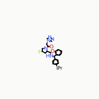 CC(C)c1ccc(C(NC(=O)C2CC(F)CN2C(=O)Cn2cnnc2)c2ccccc2)cc1